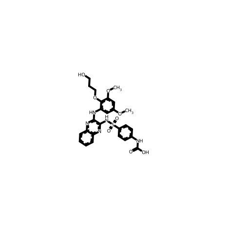 COc1cc(Nc2nc3ccccc3nc2NS(=O)(=O)c2ccc(NC(=O)O)cc2)c(OCCCO)c(OC)c1